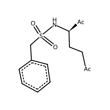 CC(=O)CC[C@@H](NS(=O)(=O)Cc1ccccc1)C(C)=O